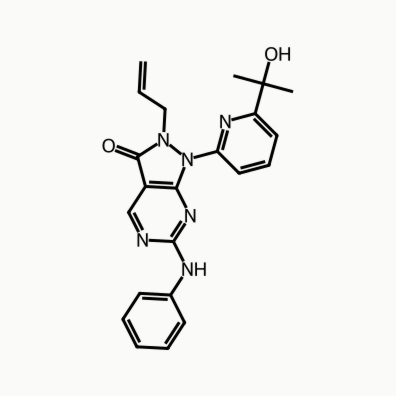 C=CCn1c(=O)c2cnc(Nc3ccccc3)nc2n1-c1cccc(C(C)(C)O)n1